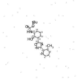 Cc1cccnc1-c1noc(-c2cccc(NC(=O)OC(C)(C)C)c2O)n1